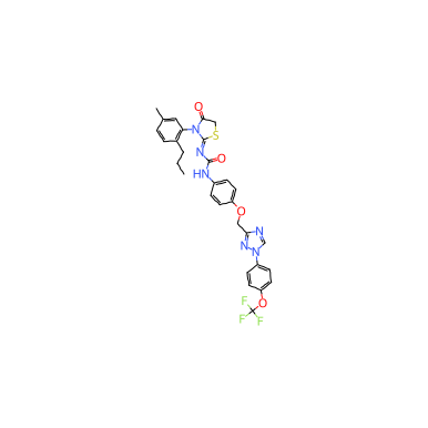 CCCc1ccc(C)cc1N1C(=O)CSC1=NC(=O)Nc1ccc(OCc2ncn(-c3ccc(OC(F)(F)F)cc3)n2)cc1